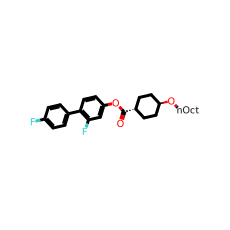 CCCCCCCCO[C@H]1CC[C@H](C(=O)Oc2ccc(-c3ccc(F)cc3)c(F)c2)CC1